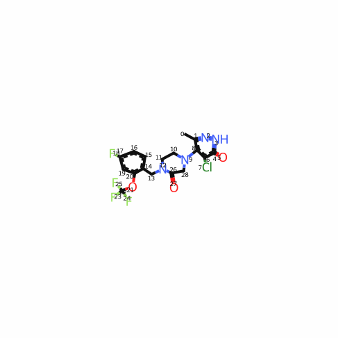 Cc1n[nH]c(=O)c(Cl)c1N1CCN(Cc2ccc(F)cc2OC(F)(F)F)C(=O)C1